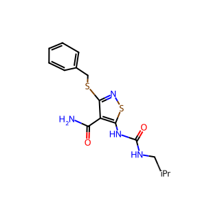 CC(C)CNC(=O)Nc1snc(SCc2ccccc2)c1C(N)=O